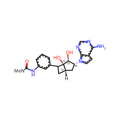 CNC(=O)Nc1cccc(C2C[C@H]3C[C@@H](n4ccc5c(N)ncnc54)[C@H](O)[C@@]23O)c1